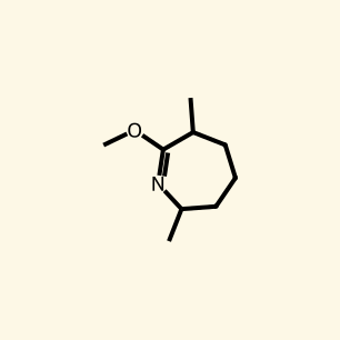 COC1=NC(C)CCCC1C